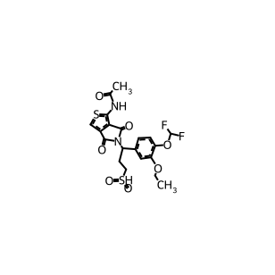 CCOc1cc(C(CC[SH](=O)=O)N2C(=O)c3csc(NC(C)=O)c3C2=O)ccc1OC(F)F